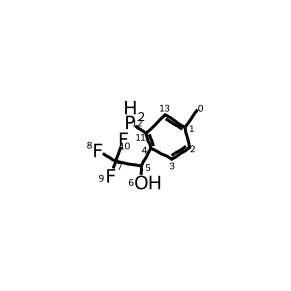 Cc1ccc(C(O)C(F)(F)F)c(P)c1